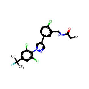 CC(=O)CC(=O)NCc1cc(-c2cnn(-c3c(Cl)cc(C(F)(C(F)(F)F)C(F)(F)F)cc3Cl)c2)ccc1Cl